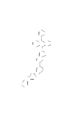 c1ccc(-c2c3ccccc3c(-c3ccc4cc(-c5ccc6sc7cc8c(cc7c6c5)sc5ccccc58)ccc4c3)c3ccccc23)cc1